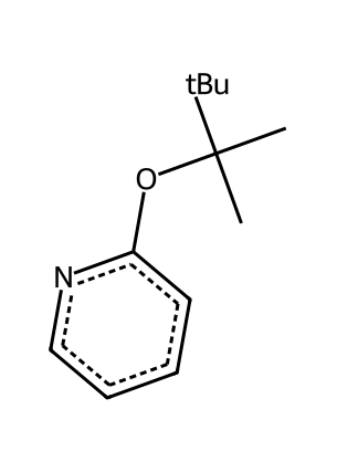 CC(C)(C)C(C)(C)Oc1ccccn1